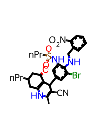 CCCC1CC(=O)C2=C(C1)NC(C)=C(C#N)C2c1cc(Br)c(NCc2ccccc2[N+](=O)[O-])c(NS(=O)(=O)CCC)c1